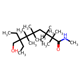 CCC(CC)(CO)C(C)(C)C(C)(C)CC(C)(C)C(C)(C)C(=O)NC